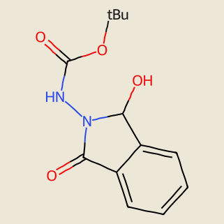 CC(C)(C)OC(=O)NN1C(=O)c2ccccc2C1O